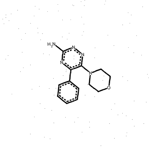 Nc1nnc(N2CCOCC2)c(-c2ccccc2)n1